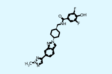 Cn1ncc(-c2ccc3cn([C@H]4CC[C@H](CNC(=O)c5cc(F)c(O)c(F)c5)CC4)nc3c2)n1